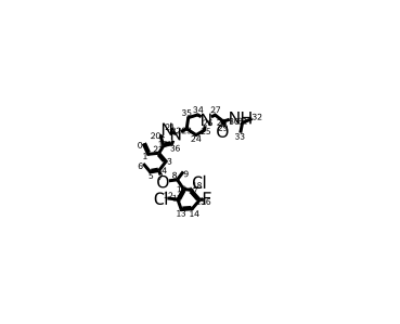 C=C/C(=C\C(=C/C)OC(C)c1c(Cl)ccc(F)c1Cl)c1cnn(C2CCN(CC(=O)NC(C)C)CC2)c1